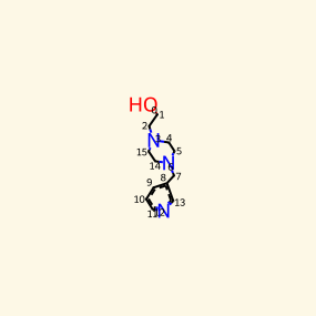 OCCN1CCN(Cc2cccnc2)CC1